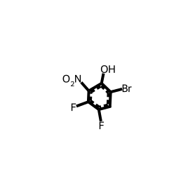 O=[N+]([O-])c1c(O)c(Br)cc(F)c1F